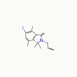 C=CCN1C(=C)c2c(C)c(I)cc(C)c2C1(C)C